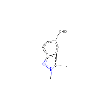 Cc1c2cc(C=O)ccc2nn1C